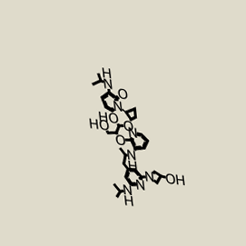 CC(C)Nc1cc(CC(C)Nc2cccnc2OC(CO)C(O)O[C@@H]2CC[C@@H]2n2cccc(NC(C)C)c2=O)cc(N2CC(O)C2)n1